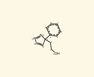 OCCC1(c2ccccc2)C=NN=N1